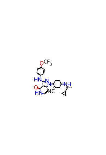 C[C@H](N[C@@H]1CC[C@H](n2nc(Nc3ccc(OC(F)(F)F)cc3)c3c(=O)[nH]ccc32)[C@@H](C#N)C1)C1CC1